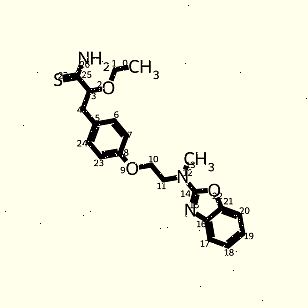 CCOC(Cc1ccc(OCCN(C)c2nc3ccccc3o2)cc1)C(N)=S